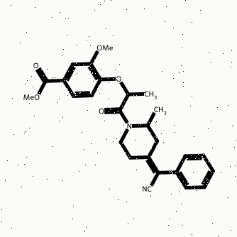 COC(=O)c1ccc(OC(C)C(=O)N2CCC(=C(C#N)c3ccccc3)CC2C)c(OC)c1